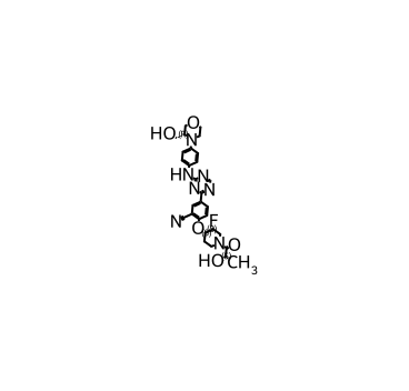 C[C@H](O)C(=O)N1CC[C@H](Oc2ccc(-c3ncnc(Nc4ccc(N5CCOC[C@H]5CO)cc4)n3)cc2C#N)[C@@H](F)C1